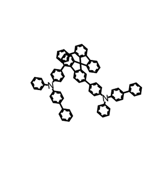 c1ccc(-c2ccc(N(c3ccccc3)c3ccc(-c4ccc5c(c4)C4(c6ccccc6-c6cccc(-c7ccccc7)c64)c4cccc(-c6ccc(N(c7ccccc7)c7ccc(-c8ccccc8)cc7)cc6)c4-5)cc3)cc2)cc1